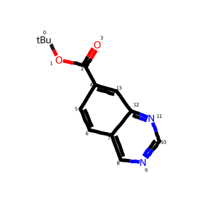 CC(C)(C)OC(=O)c1ccc2cncnc2c1